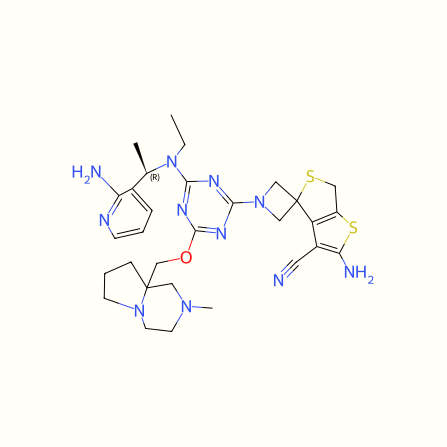 CCN(c1nc(OCC23CCCN2CCN(C)C3)nc(N2CC3(C2)SCc2sc(N)c(C#N)c23)n1)[C@H](C)c1cccnc1N